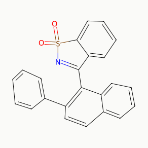 O=S1(=O)N=C(c2c(-c3ccccc3)ccc3ccccc23)c2ccccc21